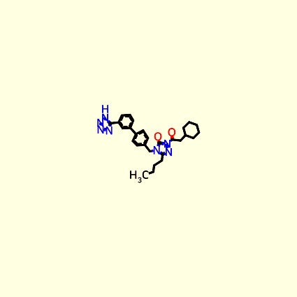 CCCCc1nn(C(=O)CC2CCCCC2)c(=O)n1Cc1ccc(-c2cccc(-c3nnn[nH]3)c2)cc1